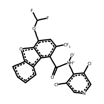 O=C(c1c(C(F)(F)F)cc(OC(F)F)c2oc3ccccc3c12)[NH+]([O-])c1c(Cl)cncc1Cl